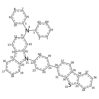 c1ccc(N(c2ccccc2)c2ccc3c4ccccc4n(-c4ccc(-c5ccc6c(c5)sc5ccccc56)cc4)c3c2)cc1